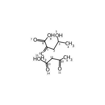 C=C(CC(C)O)C(=O)O.CC(=O)CC(=O)O